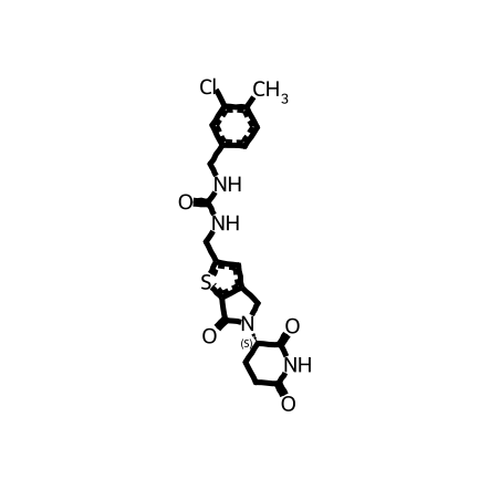 Cc1ccc(CNC(=O)NCc2cc3c(s2)C(=O)N([C@H]2CCC(=O)NC2=O)C3)cc1Cl